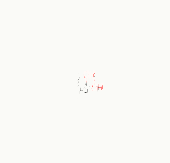 CO.C[C](C)(C)[Sn].O=S(=O)(O)O